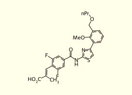 CCCOCc1cccc(-c2csc(NC(=O)c3cc(F)c(C=C(C)C(=O)O)c(F)c3)n2)c1OC